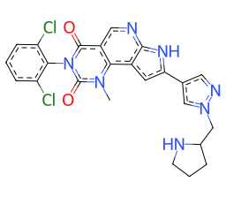 Cn1c(=O)n(-c2c(Cl)cccc2Cl)c(=O)c2cnc3[nH]c(-c4cnn(CC5CCCN5)c4)cc3c21